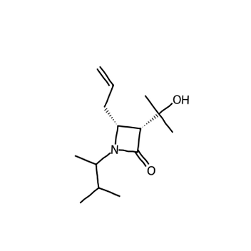 C=CC[C@@H]1[C@H](C(C)(C)O)C(=O)N1C(C)C(C)C